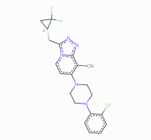 N#Cc1c(N2CCN(c3ccccc3Cl)CC2)ccn2c(C[C@@H]3CC3(F)F)nnc12